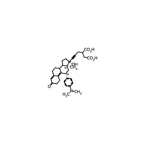 CN(C)c1ccc([C@H]2C[C@@]3(C)C(CC[C@@]3(O)C#CCC(CC(=O)O)C(=O)O)C3CCC4=CC(=O)CCC4=C32)cc1